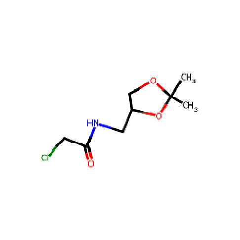 CC1(C)OCC(CNC(=O)CCl)O1